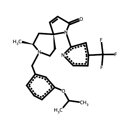 CC(C)Oc1cccc(CN2CC[C@]3(C=CC(=O)N3c3cc(C(F)(F)F)ccn3)C[C@@H]2C)c1